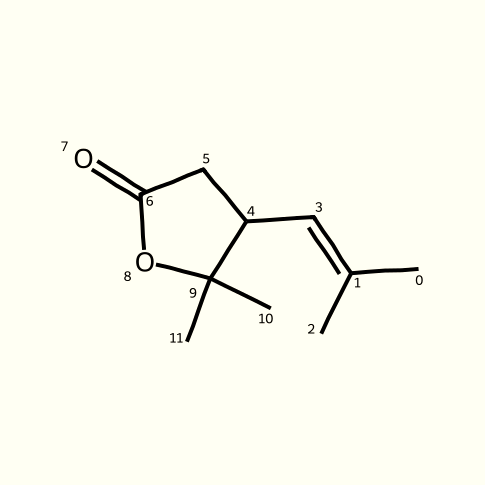 CC(C)=CC1CC(=O)OC1(C)C